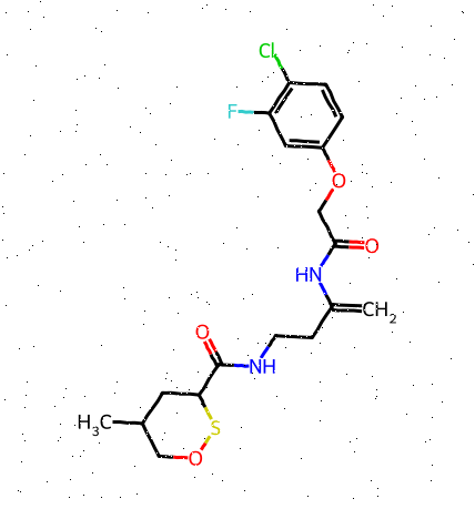 C=C(CCNC(=O)C1CC(C)COS1)NC(=O)COc1ccc(Cl)c(F)c1